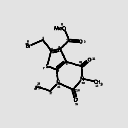 COC(=O)c1c(CBr)sc2c1c(=O)n(C)c(=O)n2CC(C)C